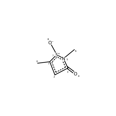 Cc1cc(=O)n(C)[s+]1[O-]